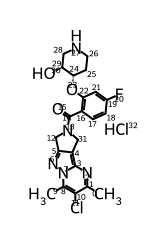 Cc1nc2c3c(nn2c(C)c1Cl)CN(C(=O)c1ccc(F)cc1O[C@H]1CCNC[C@@H]1O)C3.Cl